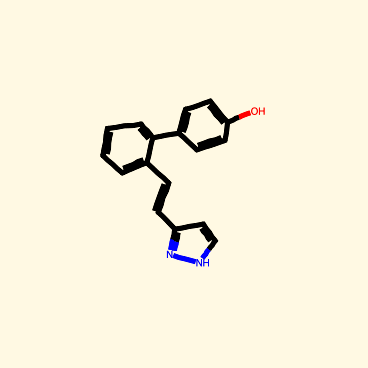 Oc1ccc(-c2ccccc2C=Cc2cc[nH]n2)cc1